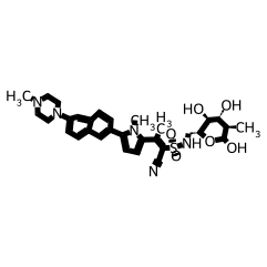 C/C(=C(/C#N)S(=O)(=O)NC[C@H]1OC(O)[C@H](C)[C@@H](O)[C@@H]1O)c1ccc(-c2ccc3cc(N4CCN(C)CC4)ccc3c2)n1C